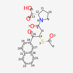 CC(=O)SC(CC(=O)N1CCC[C@H]1C(=O)O)C(=O)c1ccc2ccccc2c1